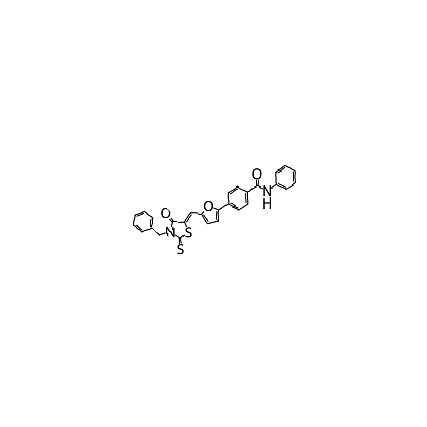 O=C(Nc1ccccc1)c1ccc(-c2ccc(/C=C3\SC(=S)N(Cc4ccccc4)C3=O)o2)cc1